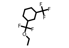 CCOC(F)(F)C1CCCC(C(F)(F)F)C1